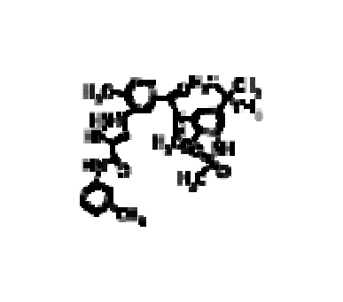 COc1c(NC(=O)c2ccc(C)c(N3C=C(C(=O)Nc4cccc(C)c4)NN3)c2)cc(C(C)(C)C)cc1NS(C)(=O)=O